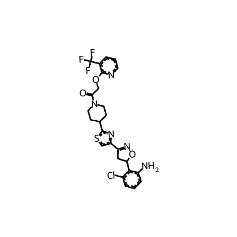 Nc1cccc(Cl)c1C1CC(c2csc(C3CCN(C(=O)COc4ncccc4C(F)(F)F)CC3)n2)=NO1